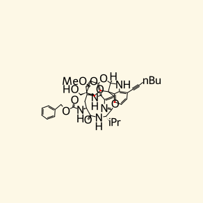 CCCCC#Cc1cccc2c1N[C@H]1Oc3ccc4cc3C21c1oc(nc1C(=O)N[C@@H](CO)C(=O)OC)[C@H](C(C)C)NC(=O)[C@@H](NC(=O)OCc1ccccc1)C4